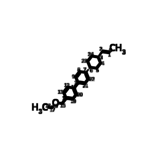 CC=C[C@H]1CC[C@H](c2ccc(-c3ccc(COCC)cc3)cc2)CC1